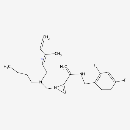 C=C/C(C)=C/CN(CCCC)CN1C=C1C(=C)NCc1ccc(F)cc1F